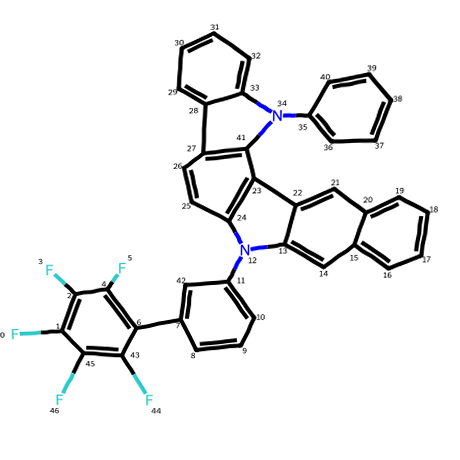 Fc1c(F)c(F)c(-c2cccc(-n3c4cc5ccccc5cc4c4c3ccc3c5ccccc5n(-c5ccccc5)c34)c2)c(F)c1F